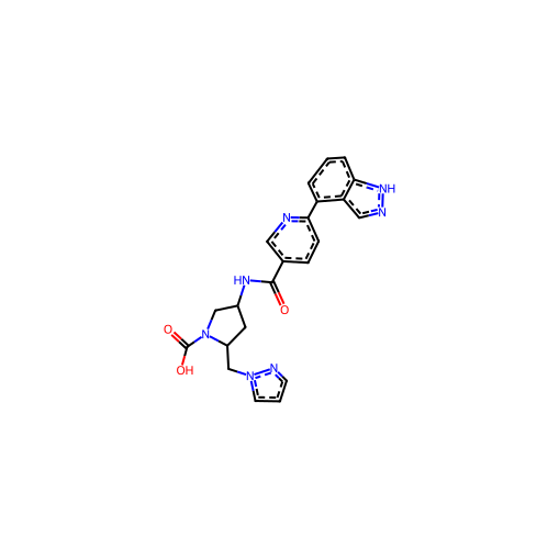 O=C(NC1CC(Cn2cccn2)N(C(=O)O)C1)c1ccc(-c2cccc3[nH]ncc23)nc1